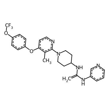 C=C(Nc1cccnc1)NC1CCN(c2nccc(Oc3ccc(OC(F)(F)F)cc3)c2C)CC1